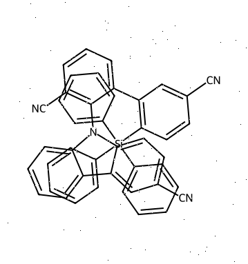 N#Cc1ccc([Si](c2ccccc2)(c2ccccc2)c2ccccc2)c(-c2cccc(C#N)c2-n2c3ccccc3c3cc(C#N)ccc32)c1